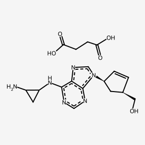 NC1CC1Nc1ncnc2c1ncn2[C@H]1C=C[C@@H](CO)C1.O=C(O)CCC(=O)O